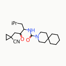 CC(C)CC(NC(=O)N1CCC2(CCCCC2)CC1)C(=O)CC1(C#N)CC1